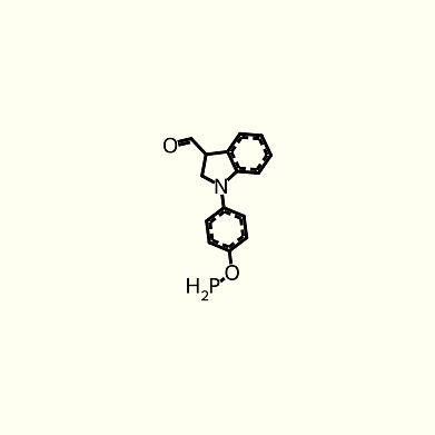 O=CC1CN(c2ccc(OP)cc2)c2ccccc21